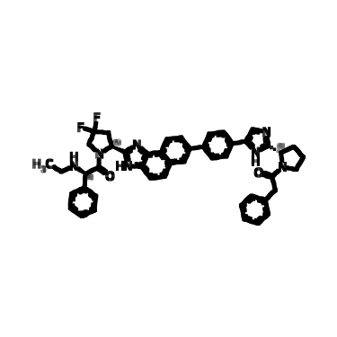 CCN[C@@H](C(=O)N1CC(F)(F)C[C@H]1c1nc2c(ccc3cc(-c4ccc(-c5cnc([C@@H]6CCCN6C(=O)Cc6ccccc6)[nH]5)cc4)ccc32)[nH]1)c1ccccc1